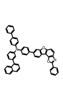 c1ccc(-c2ccc(N(c3ccc(-c4ccc5c(c4)oc4ccc6nc(-c7ccccc7)oc6c45)cc3)c3cccc(-c4cccc5ccccc45)c3)cc2)cc1